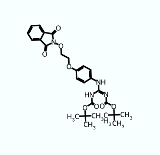 CC(C)(C)OC(=O)/N=C(\NC(=O)OC(C)(C)C)Nc1ccc(OCCON2C(=O)c3ccccc3C2=O)cc1